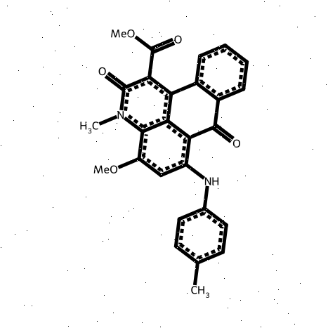 COC(=O)c1c2c3c(c(Nc4ccc(C)cc4)cc(OC)c3n(C)c1=O)C(=O)c1ccccc1-2